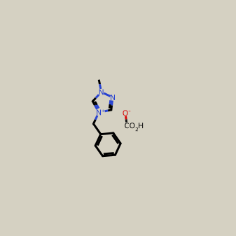 Cn1c[n+](Cc2ccccc2)cn1.O=C([O-])O